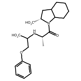 C[C@H](NC(COc1ccccc1)C(=O)O)C(=O)N1C2CCCCC2C[C@H]1C(=O)O